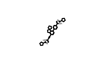 C(#Cc1ccc(-c2ccc(-c3cnc(C4CCCC4)[nH]3)cc2)c2c1CCC21CCCC1)c1cnc(C2CCCC2)[nH]1